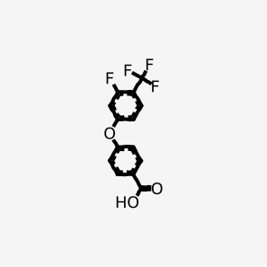 O=C(O)c1ccc(Oc2ccc(C(F)(F)F)c(F)c2)cc1